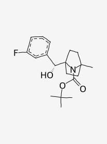 CC(C)(C)OC(=O)N1C2(C)CCC1([C@H](O)c1cccc(F)c1)CC2